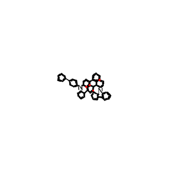 c1ccc(-c2ccc(N(c3ccc(-c4ccccc4)cc3)c3ccccc3-c3ccc(-c4ccccc4-n4c5ccccc5c5ccccc54)cc3)cc2)cc1